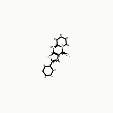 O=c1c2nc(C3CCCCC3)oc2nc2n1CCCC2